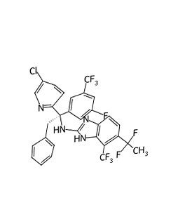 CC(F)(F)c1ccc2nc(N[C@](Cc3ccccc3)(c3cc(F)cc(C(F)(F)F)c3)c3ccc(Cl)cn3)[nH]c2c1C(F)(F)F